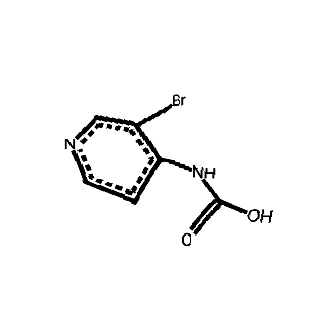 O=C(O)Nc1ccncc1Br